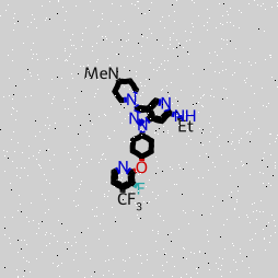 CCNc1cc2c(cn1)c(N1CCC(NC)CC1)nn2C1CCC(Oc2nccc(C(F)(F)F)c2F)CC1